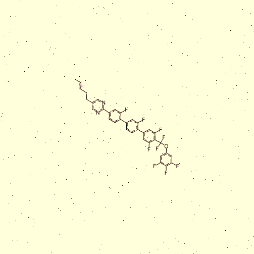 C/C=C/CCc1cnc(-c2ccc(-c3ccc(-c4cc(F)c(C(F)(F)Oc5cc(F)c(F)c(F)c5)c(F)c4)c(F)c3)c(F)c2)nc1